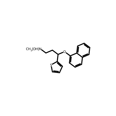 CN(O)CCC(Oc1cccc2ccccc12)c1cccs1